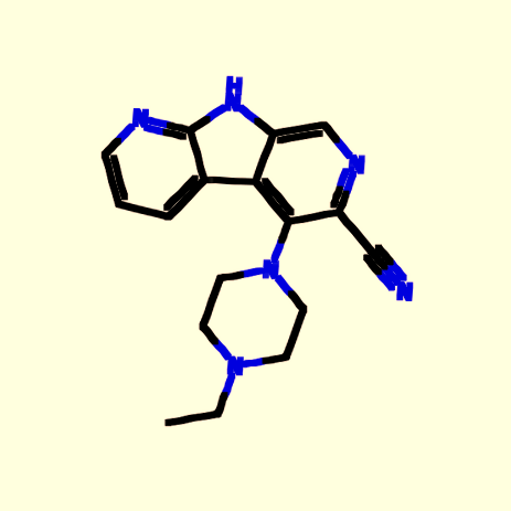 CCN1CCN(c2c(C#N)ncc3[nH]c4ncccc4c23)CC1